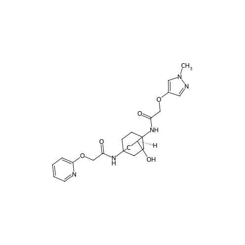 Cn1cc(OCC(=O)NC23CCC(NC(=O)COc4ccccn4)(CC2)C[C@@H]3O)cn1